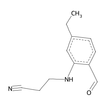 CCc1ccc(C=O)c(NCCC#N)c1